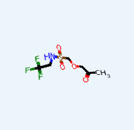 CC(=O)COCS(=O)(=O)NCC(F)(F)F